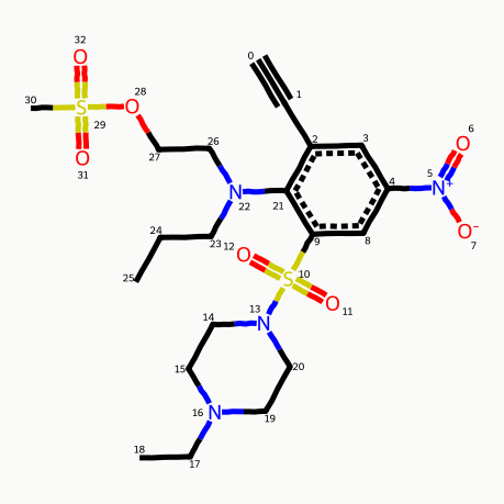 C#Cc1cc([N+](=O)[O-])cc(S(=O)(=O)N2CCN(CC)CC2)c1N(CCC)CCOS(C)(=O)=O